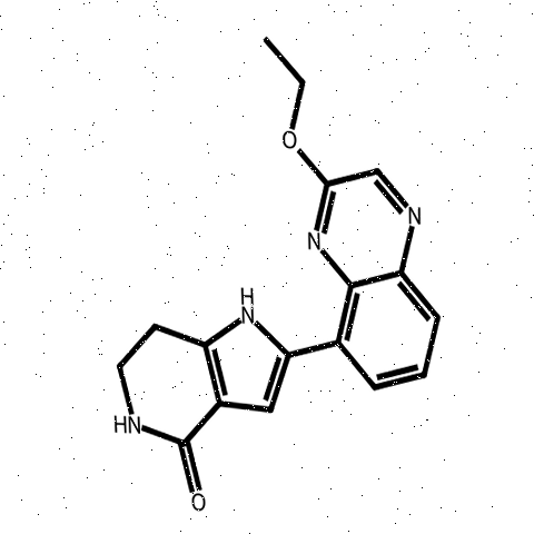 CCOc1cnc2cccc(-c3cc4c([nH]3)CCNC4=O)c2n1